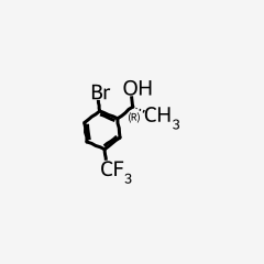 C[C@@H](O)c1cc(C(F)(F)F)ccc1Br